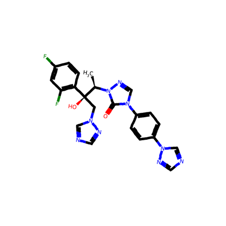 C[C@@H](n1ncn(-c2ccc(-n3cncn3)cc2)c1=O)[C@](O)(Cn1cncn1)c1ccc(F)cc1F